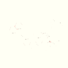 COc1ccc(CN(Cc2ccc(OC)cc2)c2c(F)cc(I)c(-c3nc4c5c(nc(OC[C@@]67CCCN6C[C@H](F)C7)nc5c3F)N3C[C@H]5CC[C@@H]([C@H]3[C@H](C)O4)N5C(=O)OC(C)(C)C)c2F)cc1